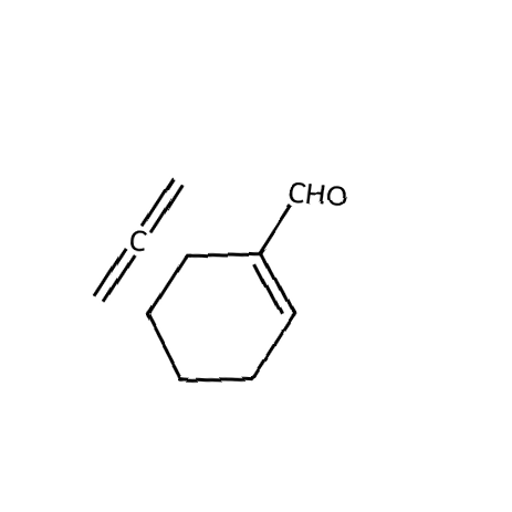 C=C=C.O=CC1=CCCCC1